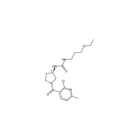 CCOCCCNC(=O)N[C@@H]1CCN(C(=O)c2ccc(C)nc2Cl)C1